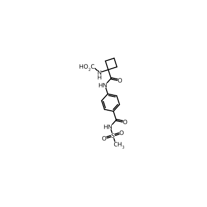 CS(=O)(=O)NC(=O)c1ccc(NC(=O)C2(NC(=O)O)CCC2)cc1